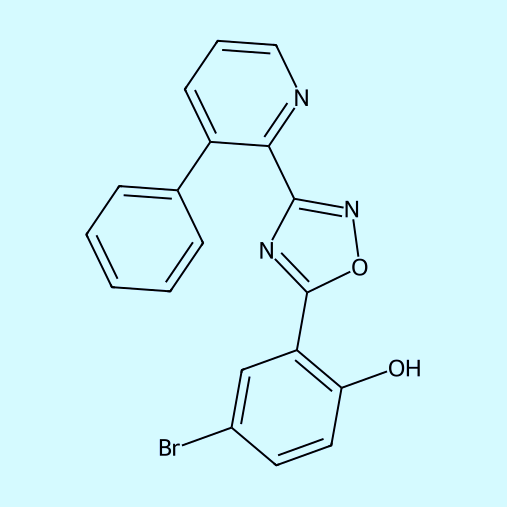 Oc1ccc(Br)cc1-c1nc(-c2ncccc2-c2ccccc2)no1